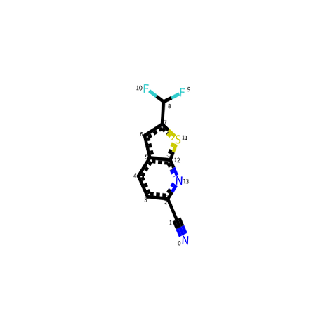 N#Cc1ccc2cc(C(F)F)sc2n1